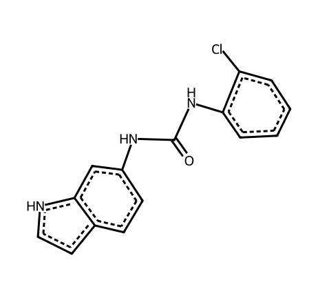 O=C(Nc1ccc2cc[nH]c2c1)Nc1ccccc1Cl